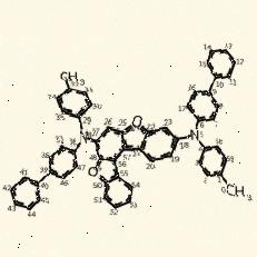 Cc1ccc(N(c2ccc(-c3ccccc3)cc2)c2ccc3c(c2)oc2cc(N(c4ccc(C)cc4)c4ccc(-c5ccccc5)cc4)c4oc5ccccc5c4c23)cc1